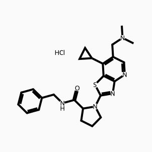 CN(C)Cc1cnc2nc(N3CCCC3C(=O)NCc3ccccc3)sc2c1C1CC1.Cl